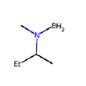 BN(C)C(C)CC